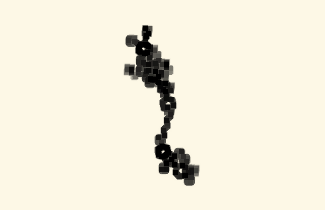 CC1(C)C(NC(=O)c2cnn(C3CCN(CCCCCOc4ccc5c(c4)C(=O)N(C4CCC(=O)NC4=O)C5=O)CC3)c2)C(C)(C)C1Oc1ccc(C#N)c(Cl)c1